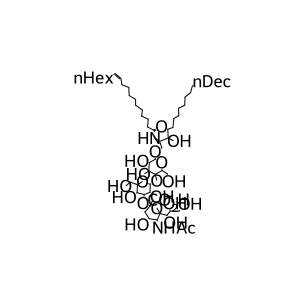 CCCCCC/C=C\CCCCCCCCCC(=O)NC(COC1OC(CO)C(OC2OC(CO)C(O)C(OC3(C(=O)O)CC(O)C(NC(C)=O)C(C(O)C(O)CO)O3)C2O)C(O)C1O)C(O)CCCCCCCCCCCCCCCCCCC